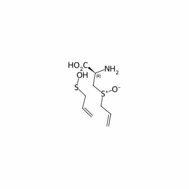 C=CCSO.C=CC[S+]([O-])C[C@H](N)C(=O)O